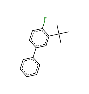 CC(C)(C)c1cc(-c2ccccc2)ccc1F